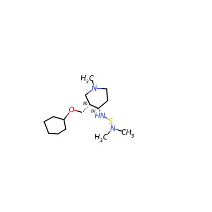 CN1CC[C@H](NSN(C)C)[C@H](COC2CCCCC2)C1